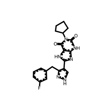 O=c1[nH]c2nc(-c3c[nH]nc3Cc3cccc(F)c3)[nH]c2c(=O)n1C1CCCC1